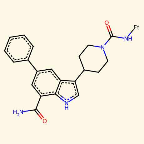 CCNC(=O)N1CCC(c2c[nH]c3c(C(N)=O)cc(-c4ccccc4)cc23)CC1